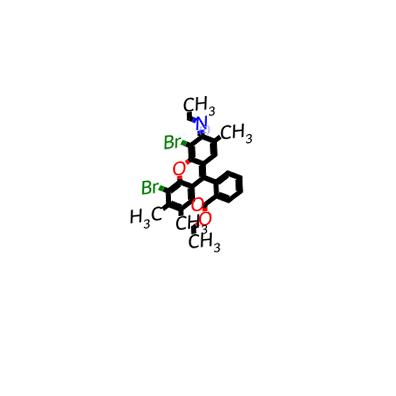 CC/N=c1/c(C)cc2c(-c3ccccc3C(=O)OCC)c3cc(C)c(C)c(Br)c3oc-2c1Br